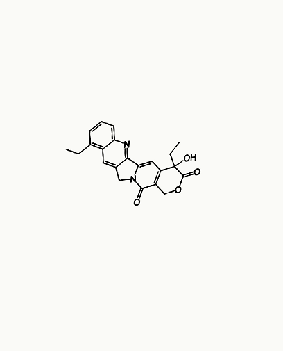 CCc1cccc2nc3c(cc12)Cn1c-3cc2c(c1=O)COC(=O)C2(O)CC